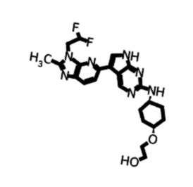 Cc1nc2ccc(-c3c[nH]c4nc(N[C@H]5CC[C@@H](OCCO)CC5)ncc34)nc2n1CC(F)F